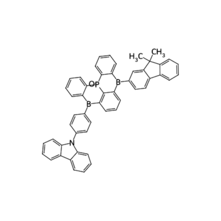 CC1(C)c2ccccc2-c2ccc(B3c4ccccc4P4(=O)c5ccccc5B(c5ccc(-n6c7ccccc7c7ccccc76)cc5)c5cccc3c54)cc21